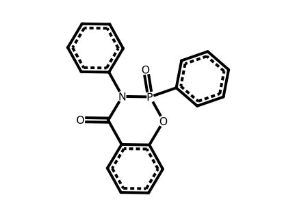 O=C1c2ccccc2OP(=O)(c2ccccc2)N1c1ccccc1